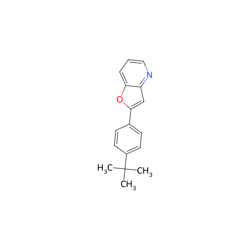 CC(C)(C)c1ccc(-c2cc3ncccc3o2)cc1